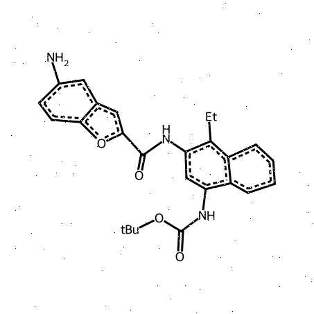 [CH2]Cc1c(NC(=O)c2cc3cc(N)ccc3o2)cc(NC(=O)OC(C)(C)C)c2ccccc12